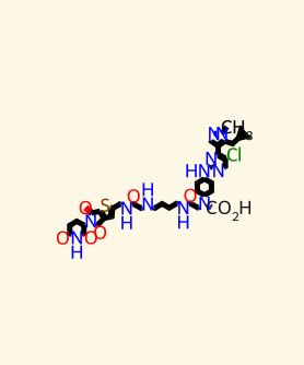 Cn1ncc(-c2nc(NC3CCC(N(CC(=O)NCCCCNCC(=O)NCc4cc5c(s4)C(=O)N(C4CCC(=O)NC4=O)C5=O)C(=O)O)CC3)ncc2Cl)c1CC1CC1